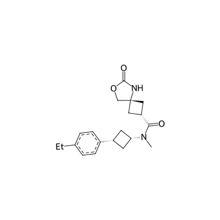 CCc1ccc([C@H]2C[C@@H](N(C)C(=O)[C@H]3C[C@]4(COC(=O)N4)C3)C2)cc1